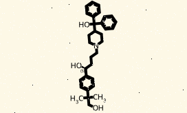 CC(C)(CO)c1ccc([C@@H](O)CCCN2CCC(C(O)(c3ccccc3)c3ccccc3)CC2)cc1